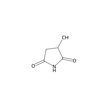 [CH]C1CC(=O)NC1=O